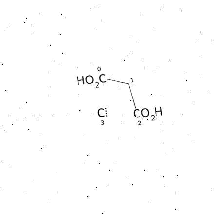 O=C(O)CC(=O)O.[C]